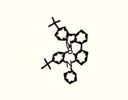 CC(C)(C)c1ccc2c(c1)N(c1ccccc1)c1cccc3c1B2n1c2ccc(C(C)(C)C)cc2c2cccc-3c21